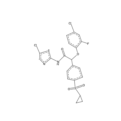 O=C(Nc1n[c]c(Cl)s1)C(Oc1ccc(Cl)cc1F)c1ccc(S(=O)(=O)C2CC2)cc1